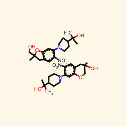 CC1(CO)Cc2cc([N+](=O)[O-])c(N3CCC(C(C)(O)C(F)(F)F)CC3)cc2O1.CC1(O)COc2cc(N3CCC(C(C)(O)C(F)(F)F)CC3)c([N+](=O)[O-])cc2C1